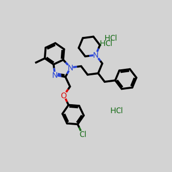 Cc1cccc2c1nc(COc1ccc(Cl)cc1)n2CCC(Cc1ccccc1)CN1CCCCC1.Cl.Cl.Cl